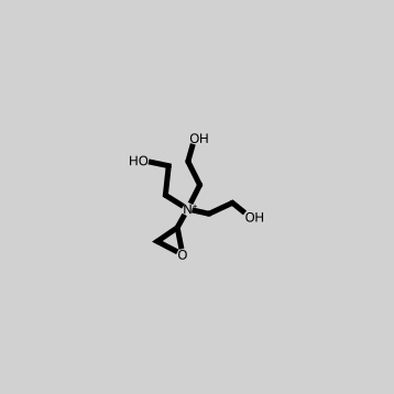 OCC[N+](CCO)(CCO)C1CO1